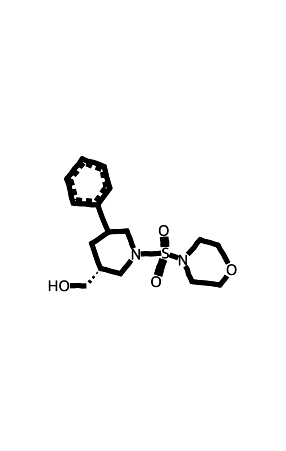 O=S(=O)(N1CCOCC1)N1CC(c2ccccc2)C[C@@H](CO)C1